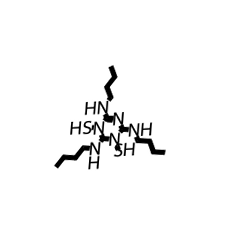 CCCCNC1=NC(NCCCC)N(S)C(NCCCC)N1S